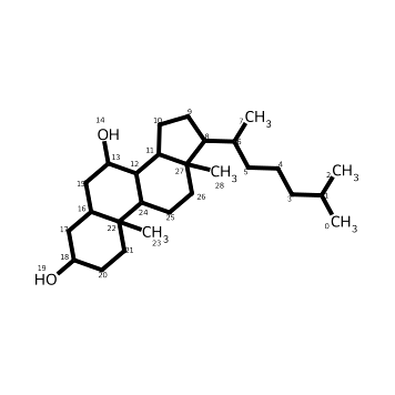 CC(C)CCCC(C)C1CCC2C3C(O)CC4CC(O)CCC4(C)C3CCC12C